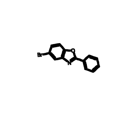 Brc1ccc2oc(-c3ccccc3)nc2c1